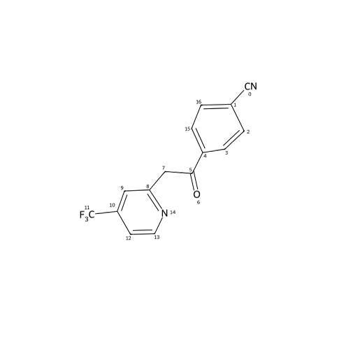 N#Cc1ccc(C(=O)Cc2cc(C(F)(F)F)ccn2)cc1